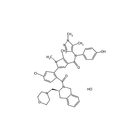 Cc1c(N(C(=O)c2cc(-c3cc(Cl)ccc3C(=O)N3Cc4ccccc4C[C@H]3CN3CCOCC3)n(C)c2C)c2ccc(O)cc2)cnn1C.Cl